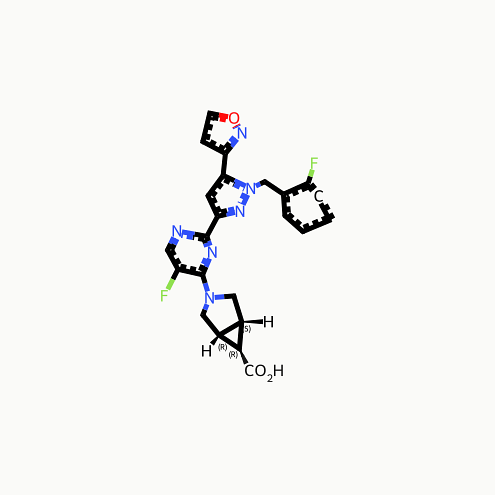 O=C(O)[C@H]1[C@@H]2CN(c3nc(-c4cc(-c5ccon5)n(Cc5ccccc5F)n4)ncc3F)C[C@@H]21